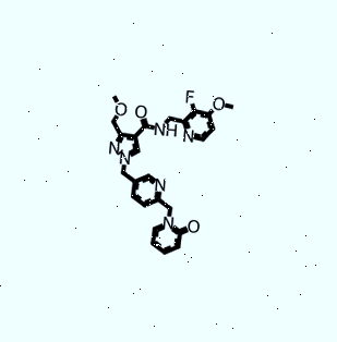 COCc1nn(Cc2ccc(Cn3ccccc3=O)nc2)cc1C(=O)NCc1nccc(OC)c1F